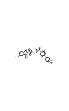 O=C(c1cnc(-c2cc[n+]([O-])cc2)nn1)N1CCN(S(=O)(=O)c2nc3ccc(Cl)cc3[nH]2)CC1